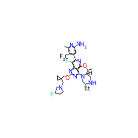 CC[C@@H]1CN2c3nc(OCC4(CN5CC[C@H](F)C5)CC4)nc4c(F)c(-c5cc(N)nc(C)c5C(F)(F)F)nc(c34)O[C@@H](C)[C@@H]2CN1